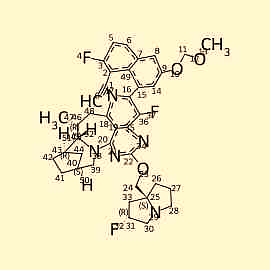 C#Cc1c(F)ccc2cc(OCOC)cc(-c3nc4c5c(nc(OC[C@@]67CCCN6C[C@H](F)C7)nc5c3F)N3C[C@H]5CC[C@H](C5)[C@@H]3[C@H](C)C4)c12